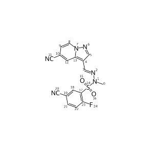 CN(N=Cc1cnn2ccc(C#N)cc12)S(=O)(=O)c1cc(C#N)ccc1F